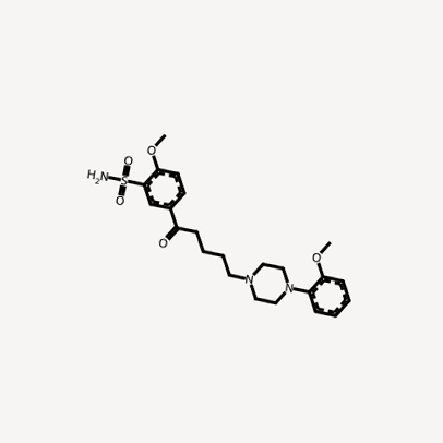 COc1ccccc1N1CCN(CCCCC(=O)c2ccc(OC)c(S(N)(=O)=O)c2)CC1